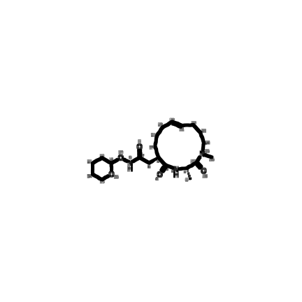 C[C@@H]1NC(=O)[C@@H](CC(=O)NOC2CCCCO2)CCC/C=C/CCCN(C)C1=O